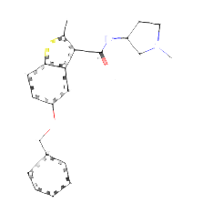 Cc1sc2ccc(OCc3ccccc3)cc2c1C(=O)NC1CCN(C)C1